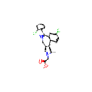 COC(=O)Cn1cc2c(c1C)-c1ccc(Cl)cc1C(c1ccccc1Cl)=NC2